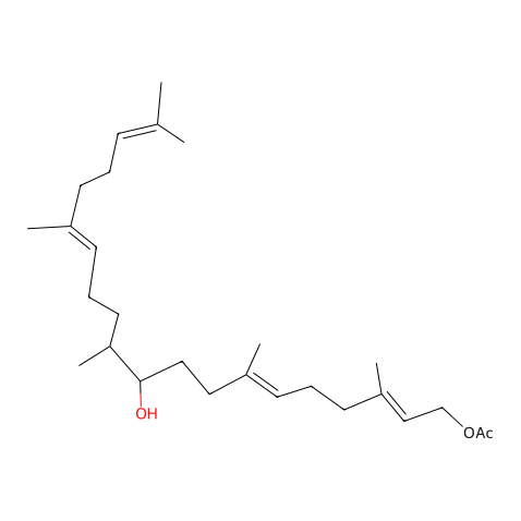 CC(=O)OC/C=C(\C)CC/C=C(\C)CCC(O)C(C)CC/C=C(\C)CCC=C(C)C